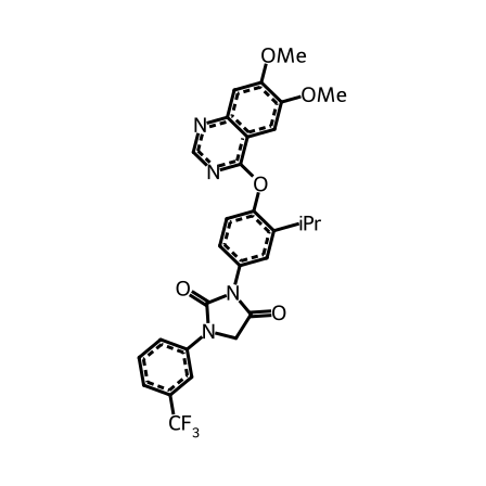 COc1cc2ncnc(Oc3ccc(N4C(=O)CN(c5cccc(C(F)(F)F)c5)C4=O)cc3C(C)C)c2cc1OC